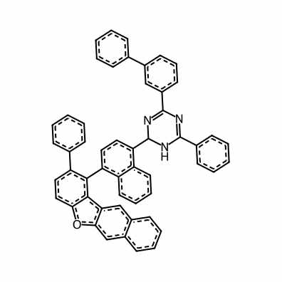 c1ccc(C2=NC(c3cccc(-c4ccccc4)c3)=NC(c3ccc(-c4c(-c5ccccc5)ccc5oc6cc7ccccc7cc6c45)c4ccccc34)N2)cc1